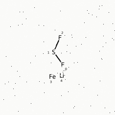 FSF.[Fe].[Li]